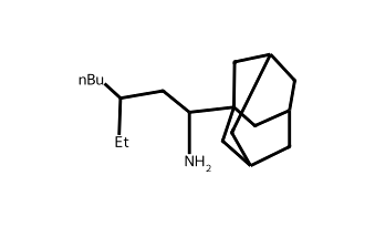 CCCCC(CC)CC(N)C12CC3CC(CC(C3)C1)C2